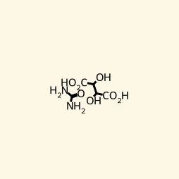 NC(N)=O.O=C(O)C(O)C(O)C(=O)O